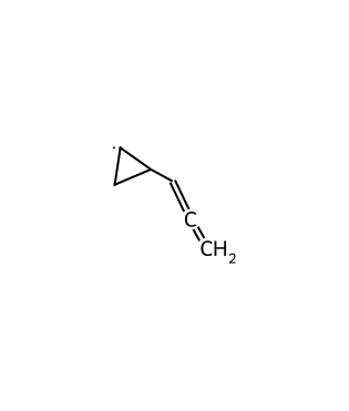 C=C=CC1[CH]C1